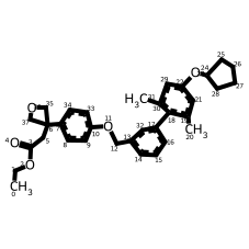 CCOC(=O)CC1(c2ccc(OCc3cccc(-c4c(C)cc(OC5CCCC5)cc4C)c3)cc2)COC1